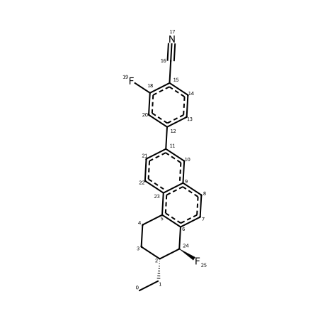 CC[C@@H]1CCc2c(ccc3cc(-c4ccc(C#N)c(F)c4)ccc23)[C@H]1F